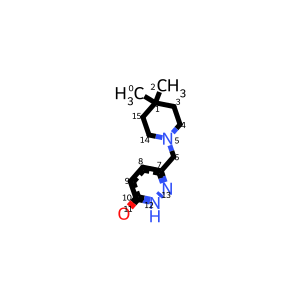 CC1(C)CCN(Cc2ccc(=O)[nH]n2)CC1